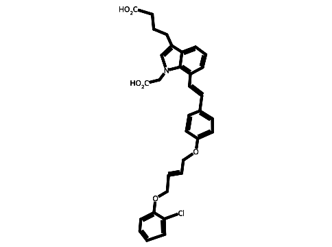 O=C(O)CCCc1cn(CC(=O)O)c2c(/C=C/c3ccc(OC/C=C/COc4ccccc4Cl)cc3)cccc12